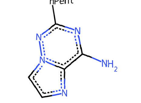 CCCCCc1nc(N)c2nccn2n1